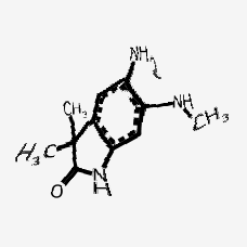 CNc1cc2c(cc1N)C(C)(C)C(=O)N2